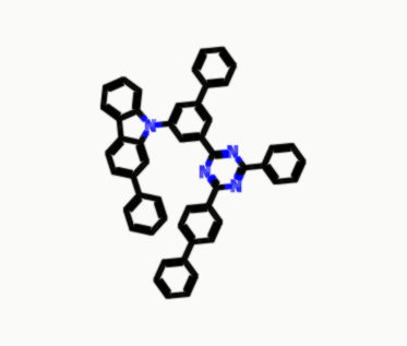 c1ccc(-c2ccc(-c3nc(-c4ccccc4)nc(-c4cc(-c5ccccc5)cc(-n5c6ccccc6c6ccc(-c7ccccc7)cc65)c4)n3)cc2)cc1